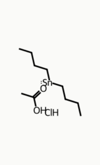 CC(=O)O.CCC[CH2][Sn][CH2]CCC.Cl